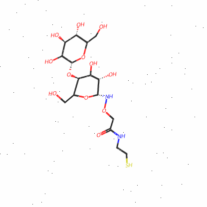 O=C(CON[C@@H]1OC(CO)[C@@H](O[C@H]2OC(CO)[C@@H](O)[C@H](O)C2O)C(O)[C@@H]1O)NCCS